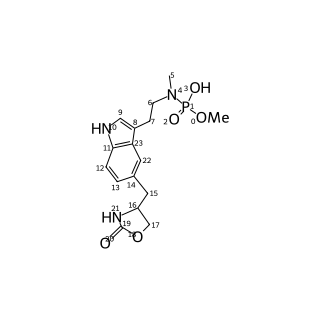 COP(=O)(O)N(C)CCc1c[nH]c2ccc(CC3COC(=O)N3)cc12